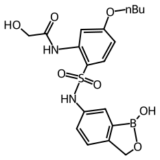 CCCCOc1ccc(S(=O)(=O)Nc2ccc3c(c2)B(O)OC3)c(NC(=O)CO)c1